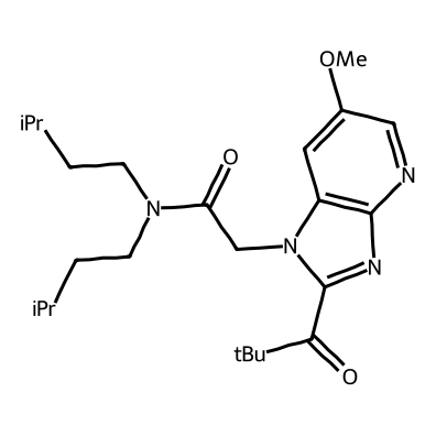 COc1cnc2nc(C(=O)C(C)(C)C)n(CC(=O)N(CCC(C)C)CCC(C)C)c2c1